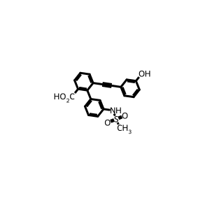 CS(=O)(=O)Nc1cccc(-c2c(C#Cc3cccc(O)c3)cccc2C(=O)O)c1